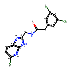 O=C(Cc1cc(Cl)cc(Cl)c1)NCc1nc2ccc(Cl)nc2[nH]1